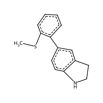 CSc1ccccc1-c1ccc2c(c1)CCN2